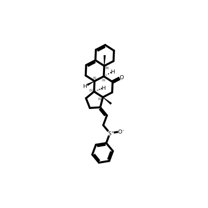 C[C@]12CCC=CC1=CC[C@@H]1[C@@H]2C(=O)C[C@]2(C)C(=CC[S+]([O-])c3ccccc3)CC[C@@H]12